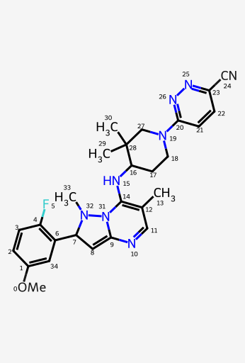 COc1ccc(F)c(C2C=C3N=CC(C)=C(NC4CCN(c5ccc(C#N)nn5)CC4(C)C)N3N2C)c1